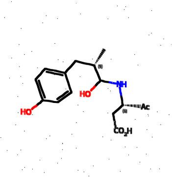 CC(=O)[C@H](CC(=O)O)NC(O)[C@@H](C)Cc1ccc(O)cc1